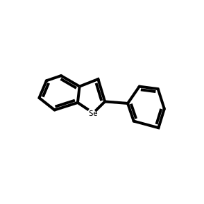 c1ccc(-c2cc3ccccc3[se]2)cc1